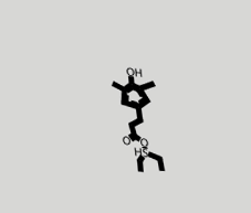 CC[SH](CC)OC(=O)CCc1cc(C)c(O)c(C)c1